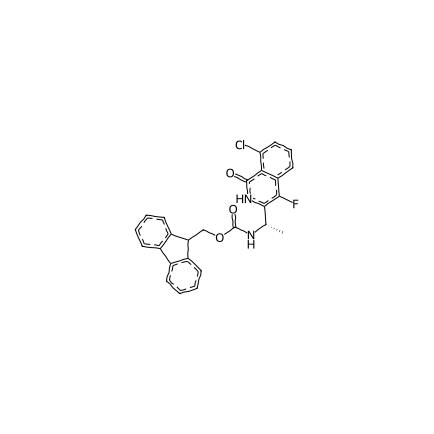 C[C@H](NC(=O)OCC1c2ccccc2-c2ccccc21)c1[nH]c(=O)c2c(Cl)cccc2c1F